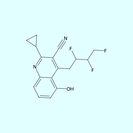 N#Cc1c(C2CC2)nc2cccc(O)c2c1CC(F)C(F)CF